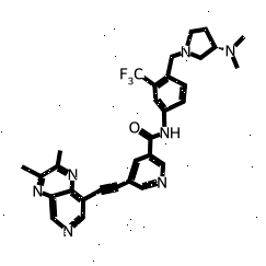 Cc1nc2cncc(C#Cc3cncc(C(=O)Nc4ccc(CN5CC[C@H](N(C)C)C5)c(C(F)(F)F)c4)c3)c2nc1C